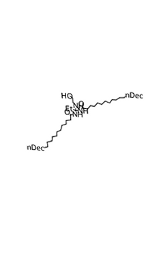 CCCCCCCCCCCCCCCCCCCCCC(=O)NC(CC)(NCCO)NC(=O)CCCCCCCCCCCCCCCCCCCCC